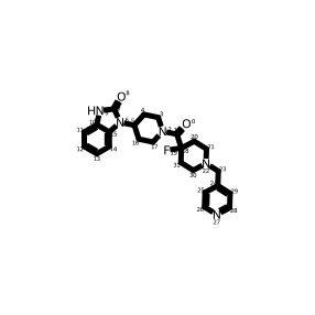 O=C(N1CCC(n2c(=O)[nH]c3ccccc32)CC1)C1(F)CCN(Cc2ccncc2)CC1